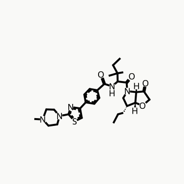 CCC[C@@H]1CN(C(=O)C(NC(=O)c2ccc(-c3csc(N4CCN(C)CC4)n3)cc2)C(C)(C)CC)[C@@H]2C(=O)CO[C@H]12